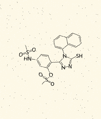 CS(=O)(=O)Nc1ccc(-c2nnc(S)n2-c2cccc3ccccc23)c(OS(C)(=O)=O)c1